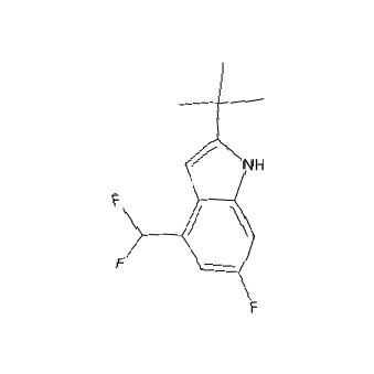 CC(C)(C)c1cc2c(C(F)F)cc(F)cc2[nH]1